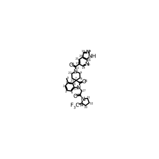 Cc1cccc2c1C1(CCN(C(=O)c3cnc4[nH]ncc4c3)CC1)C(=O)N2CC(=O)N1CCC[C@H]1C(F)(F)F